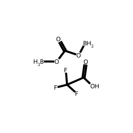 BOC(=O)OB.O=C(O)C(F)(F)F